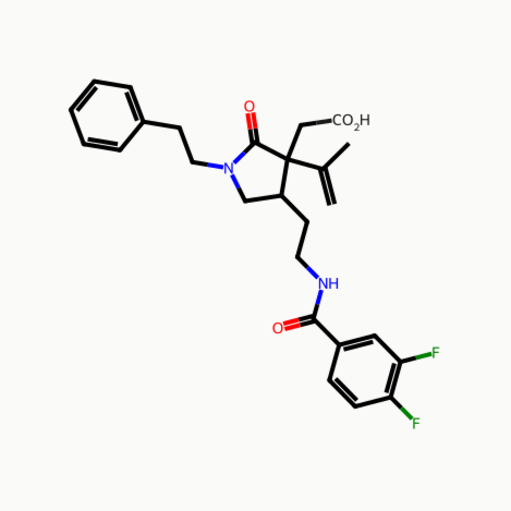 C=C(C)C1(CC(=O)O)C(=O)N(CCc2ccccc2)CC1CCNC(=O)c1ccc(F)c(F)c1